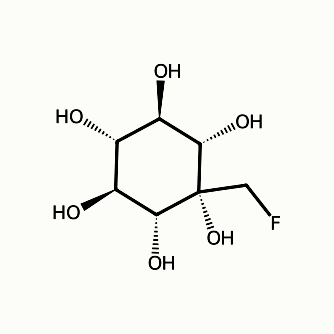 O[C@@H]1[C@@H](O)[C@H](O)[C@@](O)(CF)[C@H](O)[C@H]1O